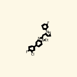 CCn1c(Cc2ccnn2-c2cccc(F)c2)nc2cc(-c3ccc(F)c(Cl)c3)ccc21